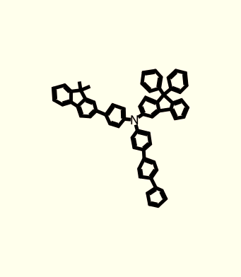 CC1(C)c2ccccc2-c2ccc(-c3ccc(N(c4ccc(-c5ccc(-c6ccccc6)cc5)cc4)c4ccc5c(c4)-c4ccccc4C5(c4ccccc4)c4ccccc4)cc3)cc21